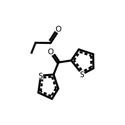 CCC=O.O=C(c1cccs1)c1cccs1